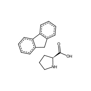 O=C(O)[C@@H]1CCCN1.c1ccc2c(c1)Cc1ccccc1-2